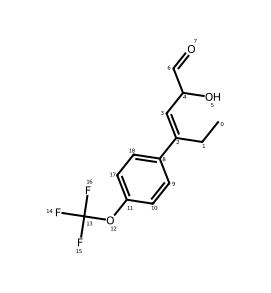 CCC(=CC(O)C=O)c1ccc(OC(F)(F)F)cc1